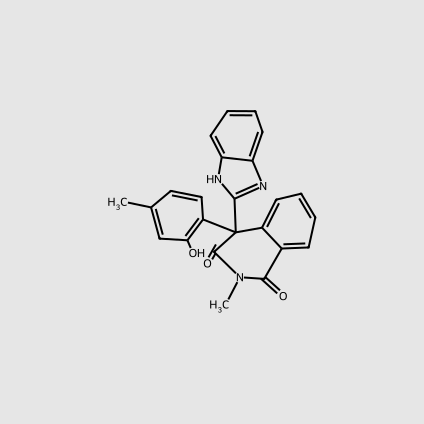 Cc1ccc(C2(c3nc4ccccc4[nH]3)C(=O)N(C)C(=O)c3ccccc32)c(O)c1